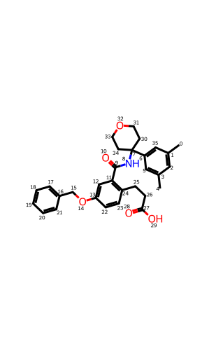 Cc1cc(C)cc(C2(NC(=O)c3cc(OCc4ccccc4)ccc3CCC(=O)O)CCOCC2)c1